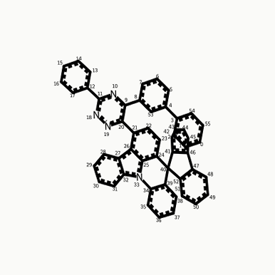 c1ccc(-c2cccc(-c3nc(-c4ccccc4)nnc3-c3ccc4c5c3c3ccccc3n5-c3ccccc3C43c4ccccc4-c4ccccc43)c2)cc1